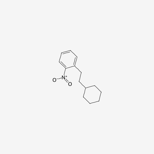 O=[N+]([O-])c1ccccc1CCC1CCCCC1